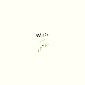 [F-].[F-].[F-].[Mn+2]